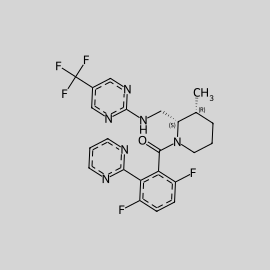 C[C@@H]1CCCN(C(=O)c2c(F)ccc(F)c2-c2ncccn2)[C@@H]1CNc1ncc(C(F)(F)F)cn1